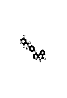 O=C(Nc1ccc(Oc2ccnc3[nH]c(=O)c4ccccc4c23)cc1)c1cc(Cl)cnc1Cl